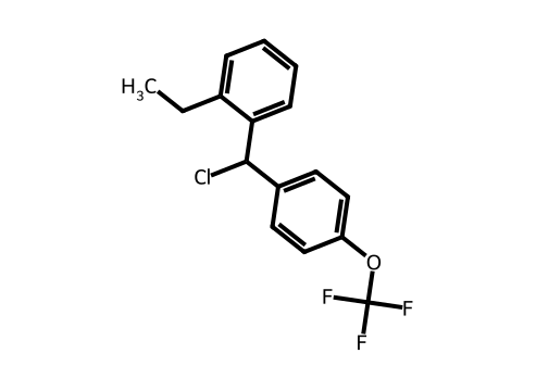 CCc1ccccc1C(Cl)c1ccc(OC(F)(F)F)cc1